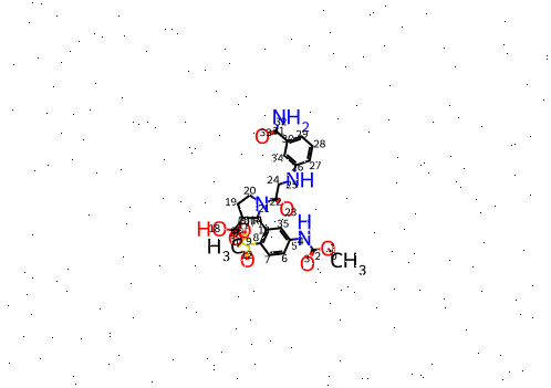 COC(=O)Nc1ccc(S(C)(=O)=O)c([C@H]2[C@@H](C(=O)O)CCN2C(=O)CNc2cccc(C(N)=O)c2)c1